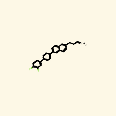 C=CCCc1ccc2cc(-c3ccc(-c4ccc(F)c(F)c4)cc3)ccc2c1